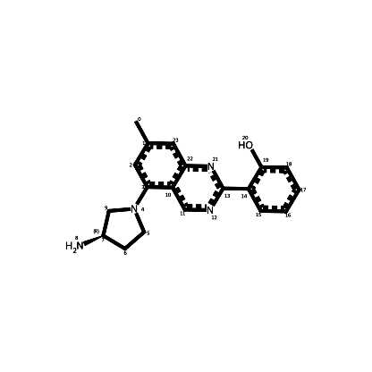 Cc1cc(N2CC[C@@H](N)C2)c2cnc(-c3ccccc3O)nc2c1